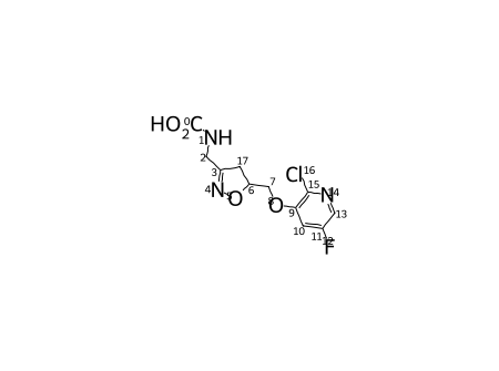 O=C(O)NCC1=NOC(COc2cc(F)cnc2Cl)C1